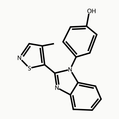 Cc1cnsc1-c1nc2ccccc2n1-c1ccc(O)cc1